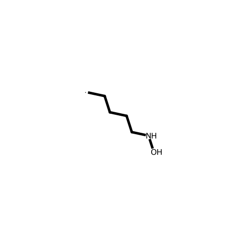 [CH2]CCCCNO